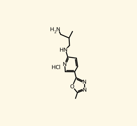 Cc1nnc(-c2ccc(NCC(C)CN)nc2)o1.Cl